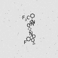 Cn1nc(-c2ccccc2C(F)(F)F)cc1OC1CC2(C1)CN(C(=O)c1ccc(F)cc1OC1CC1)C2